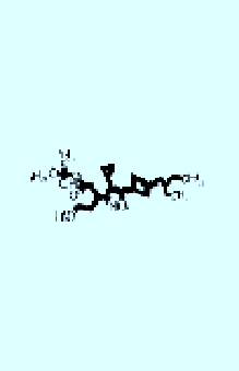 CCC(CC)CC1CC(c2onc(C(CCO)CC(=O)OC(C)(C)C)c2C2CC2)C1